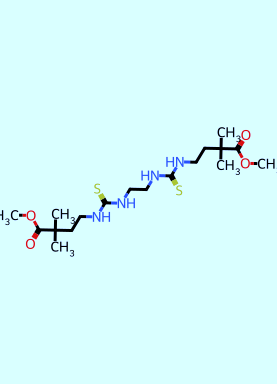 COC(=O)C(C)(C)CCNC(=S)NCCNC(=S)NCCC(C)(C)C(=O)OC